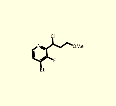 CCc1ccnc(C(Cl)CCOC)c1F